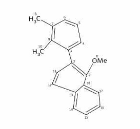 COc1c(-c2cccc(C)c2C)ccc2ccccc12